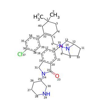 CC1(C)CCC(CN2CC3CCC(C2)N3Cc2ccc3c(c2)C(=O)N(C2CCCNC2)C3)=C(c2ccc(Cl)cc2)C1